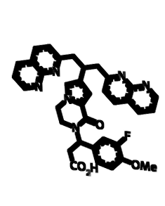 COc1ccc(C(CC(=O)O)N2CCn3cc(C(Cc4ccc5cccnc5n4)Cc4ccc5cccnc5n4)cc3C2=O)cc1F